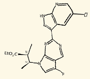 CCOC(=O)[C@@H](C)[C@H](C)n1cc(F)c2cnc(-c3c[nH]c4ncc(Cl)cc34)nc21